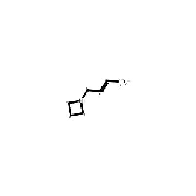 O=C(O)C=CCN1CCC1